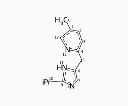 Cc1ccc([CH]c2cnc(C(C)C)[nH]2)nc1